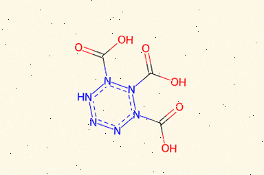 O=C(O)n1nn[nH]n(C(=O)O)n1C(=O)O